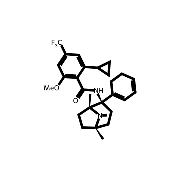 COc1cc(C(F)(F)F)cc(C2CC2)c1C(=O)N[C@@]1(C2=CC=CCC2)CC[C@]2(C)CC[C@@]1(C)N2C